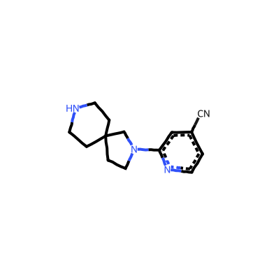 N#Cc1ccnc(N2CCC3(CCNCC3)C2)c1